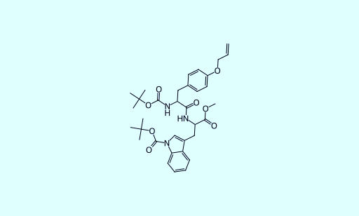 C=CCOc1ccc(CC(NC(=O)OC(C)(C)C)C(=O)NC(Cc2cn(C(=O)OC(C)(C)C)c3ccccc23)C(=O)OC)cc1